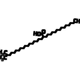 CCCCCCCCCCCCCCC(CCCCCCCCCCCCCCCC(C)C)C(=O)O